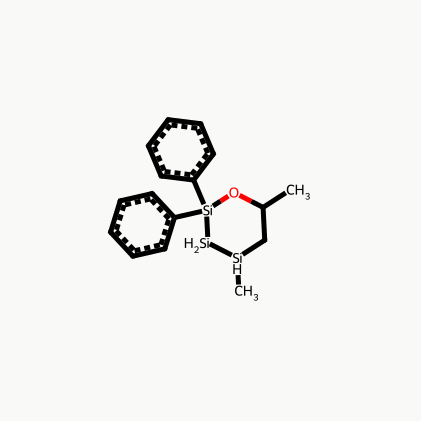 CC1C[SiH](C)[SiH2][Si](c2ccccc2)(c2ccccc2)O1